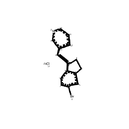 Brc1ccc2c(c1)CCC2=Cc1cccnc1.Cl